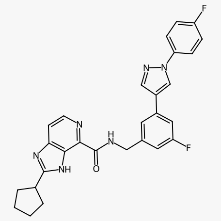 O=C(NCc1cc(F)cc(-c2cnn(-c3ccc(F)cc3)c2)c1)c1nccc2nc(C3CCCC3)[nH]c12